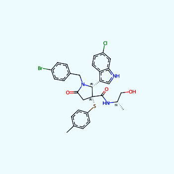 Cc1ccc(S[C@]2(C(=O)N[C@@H](C)CO)CC(=O)N(Cc3ccc(Br)cc3)[C@@H]2c2c[nH]c3cc(Cl)ccc23)cc1